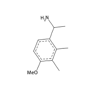 COc1ccc(C(C)N)c(C)c1C